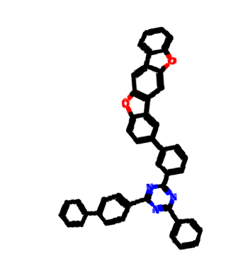 c1ccc(-c2ccc(-c3nc(-c4ccccc4)nc(-c4cccc(-c5ccc6oc7cc8c(cc7c6c5)oc5ccccc58)c4)n3)cc2)cc1